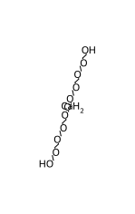 OCCOCCOCCOCCOCOCOCCOCCOCCOCCO.[CaH2]